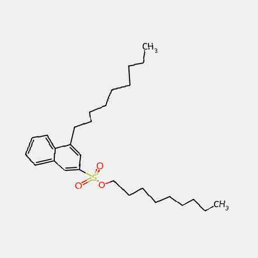 CCCCCCCCCOS(=O)(=O)c1cc(CCCCCCCCC)c2ccccc2c1